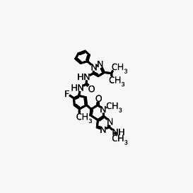 CNc1ncc2cc(-c3cc(NC(=O)Nc4cc(C(C)C)nn4-c4ccccc4)c(F)cc3C)c(=O)n(C)c2n1